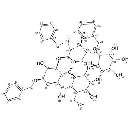 CC1O[C@@H](O[C@@H]2C(O)[C@H](OCc3ccccc3)OC(CO)[C@H]2O[C@@H]2OC(CO)[C@H](O)C(O)C2O[C@@H]2O[C@@H](C)[C@@H](O)C(O)C2OCc2ccccc2)C(OCc2ccccc2)[C@@H](O)[C@@H]1O